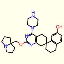 Oc1ccc2c(c1)C1(CCC2)CCc2c(nc(OCC34CCCN3CCC4)nc2N2CCNCC2)C1